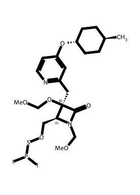 COCO[C@@]1(Cc2cc(O[C@H]3CC[C@H](C)CC3)ccn2)C(=O)N(COC)[C@H]1COSP(I)I